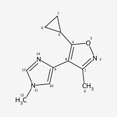 Cc1noc(C2CC2)c1-c1cn(C)cn1